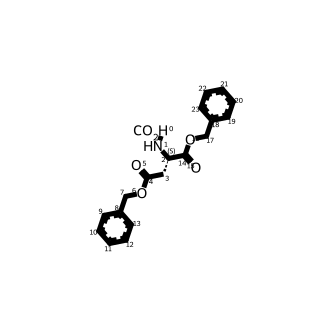 O=C(O)N[C@@H](CC(=O)OCc1ccccc1)C(=O)OCc1ccccc1